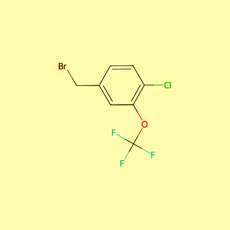 FC(F)(F)Oc1cc(CBr)ccc1Cl